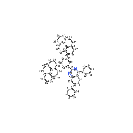 c1ccc(-c2ccc3c(-c4ccccc4)nc(-c4cc(-c5ccc6ccc7cccc8ccc5c6c78)cc(-c5ccc6ccc7cccc8ccc5c6c78)c4)nc3c2)cc1